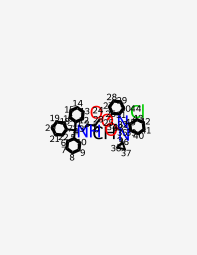 C[C@@H](CNC(c1ccccc1)(c1ccccc1)c1ccccc1)C(=O)Oc1ccccc1-n1c(=O)n(C2CC2)c2cccc(Cl)c21